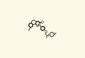 CC(COc1ccc(-n2nc3c(cc2=O)CCc2ccc(F)cc2-3)cc1)N1CCN(C)CC1